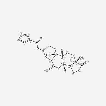 C[C@]12CCC(OC(=O)n3ccnc3)CC1C(=O)C[C@@H]1[C@H]2CC[C@]2(C)C(=O)CC[C@@H]12